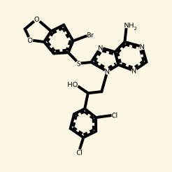 Nc1ncnc2c1nc(Sc1cc3c(cc1Br)OCO3)n2CC(O)c1ccc(Cl)cc1Cl